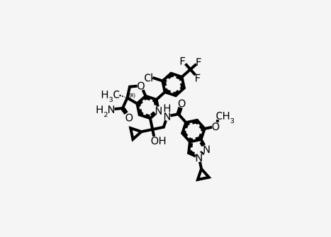 COc1cc(C(=O)NCC(O)(c2cc3c(c(-c4ccc(C(F)(F)F)cc4Cl)n2)OC[C@]3(C)C(N)=O)C2CC2)cc2cn(C3CC3)nc12